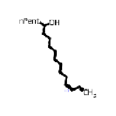 C=C/C=C\CCCCCCCCC(O)CCCCC